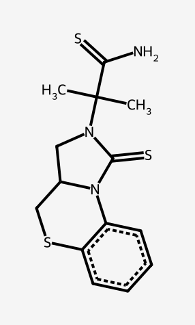 CC(C)(C(N)=S)N1CC2CSc3ccccc3N2C1=S